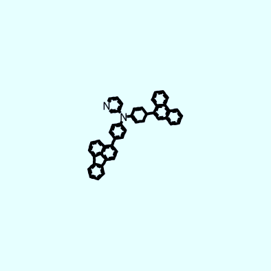 C1=CC(c2cc3ccccc3c3ccccc23)CC=C1N(c1ccc(-c2ccc3c4c(cccc24)-c2ccccc2-3)cc1)c1cccnc1